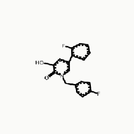 O=c1c(O)cc(-c2ccccc2F)cn1Cc1ccc(F)cc1